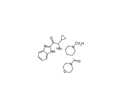 O=C(c1nc2ccccc2[nH]1)C(N[C@H]1C[C@@H](C(=O)N2CCOCC2)CN(C(=O)O)C1)C1CC1